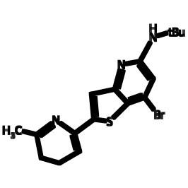 CC1=NC(c2cc3nc(NC(C)(C)C)cc(Br)c3s2)=CCC1